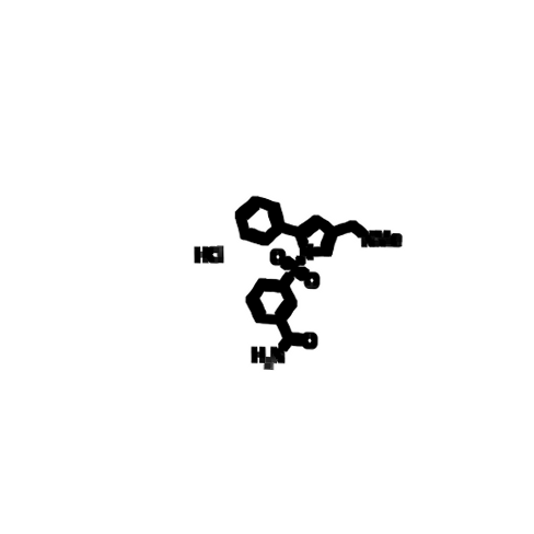 CNCc1cc(-c2ccccc2)n(S(=O)(=O)c2cccc(C(N)=O)c2)c1.Cl